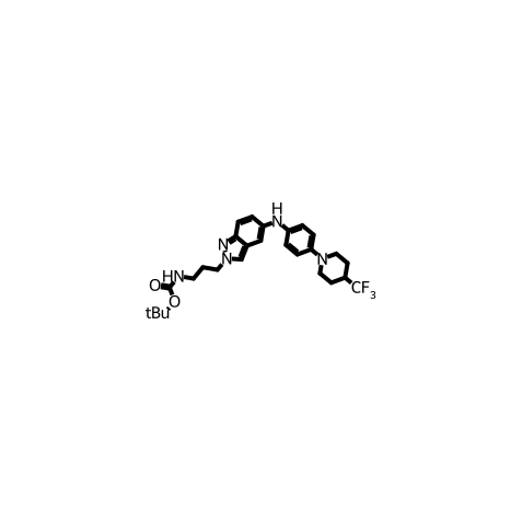 CC(C)(C)OC(=O)NCCCn1cc2cc(Nc3ccc(N4CCC(C(F)(F)F)CC4)cc3)ccc2n1